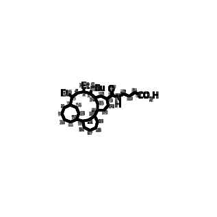 CCCCC1C(CC)CC(CC)C2CCCCC(CC2)C2CCCCC(C2)C2CCC(C(=O)NCCCC(=O)O)CC1C2